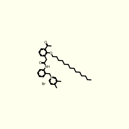 CCCCCCCCCCCCCCOc1c(CC(=O)Nc2ccccc2C[n+]2ccc(C)c(C)c2)cccc1C(C)=O.[Br-]